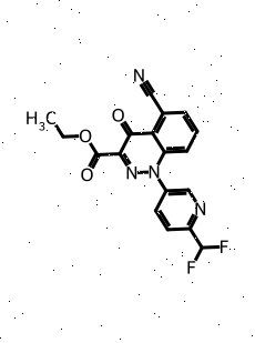 CCOC(=O)c1nn(-c2ccc(C(F)F)nc2)c2cccc(C#N)c2c1=O